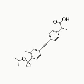 Cc1cc(C#Cc2ccc(C(C)C(=O)O)cc2)ccc1C1(OC(C)C)CC1